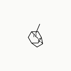 CN1CC2CC3CC2CC1C3